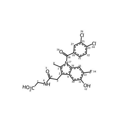 Cc1c(CC(=O)NCC(=O)O)c2cc(O)c(F)cc2n1C(=O)c1ccc(Cl)c(Cl)c1